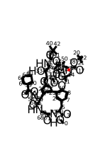 COC(=O)[C@@H]1Cc2ccc(OC[C@H](O)CNC(=O)OC(C)(C)C)c(c2)-c2cc(cc(OC[C@H](O)CNC(=O)OC(C)(C)C)c2OCOCC[Si](C)(C)C)[C@H](N(C)OC(=O)c2ccccc2)C(=O)N[C@@H](C)C(=O)N1